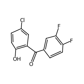 O=C(c1ccc(F)c(F)c1)c1cc(Cl)ccc1O